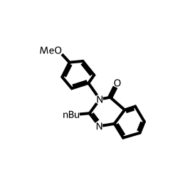 CCCCc1nc2ccccc2c(=O)n1-c1ccc(OC)cc1